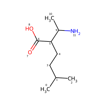 CC(C)CCC(C(=O)O)C(C)N